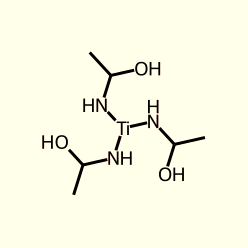 CC(O)[NH][Ti]([NH]C(C)O)[NH]C(C)O